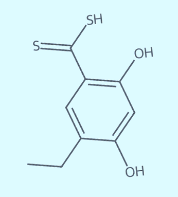 CCc1cc(C(=S)S)c(O)cc1O